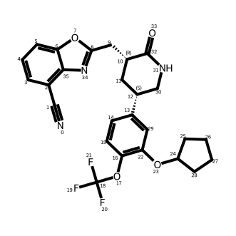 N#Cc1cccc2oc(C[C@H]3C[C@@H](c4ccc(OC(F)(F)F)c(OC5CCCC5)c4)CNC3=O)nc12